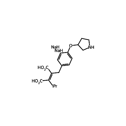 CC(C)/C(C(=O)O)=C(\Cc1ccc(OC2CCNC2)cc1)C(=O)O.[NaH].[NaH]